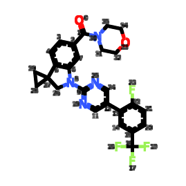 O=C(c1ccc2c(c1)N(c1ncc(-c3cc(C(F)(F)F)ccc3F)cn1)CC21CC1)N1CCOCC1